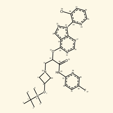 CC(C)(C)[Si](C)(C)OC1CN(CC(Oc2ncnc3c2cnn3-c2ncccc2Cl)C(=O)Nc2ccc(F)cn2)C1